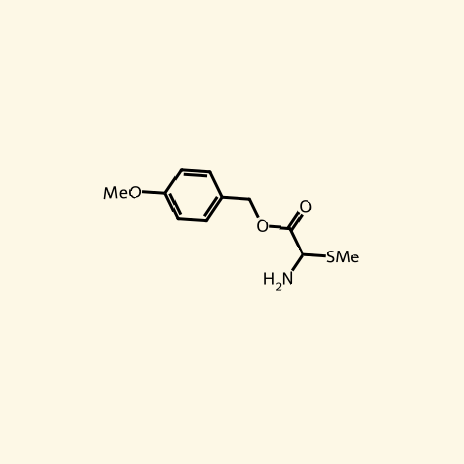 COc1ccc(COC(=O)C(N)SC)cc1